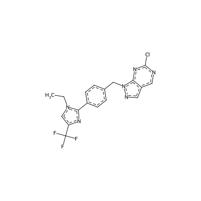 CCn1cc(C(F)(F)F)nc1-c1ccc(Cn2ncc3cnc(Cl)nc32)cc1